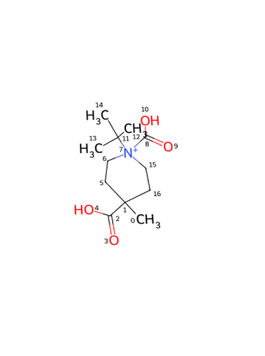 CC1(C(=O)O)CC[N+](C(=O)O)(C(C)(C)C)CC1